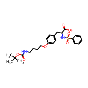 CC(C)(C)OC(=O)NCCCCOc1ccc(C[C@H](NS(=O)(=O)c2ccccc2)C(=O)O)cc1